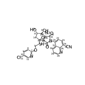 C[C@@]12O[C@@](CCOc3ccc(Cl)cn3)(CC1O)[C@@H]1C(=O)N(c3ccc(C#N)c4ncccc34)C(=O)[C@@H]12